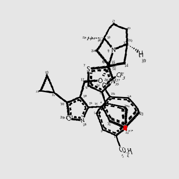 O=C(O)c1ccc(-c2csc(N3[C@@H]4CC[C@H]3C[C@H](OCc3c(-c5ccccc5OC(F)(F)F)noc3C3CC3)C4)n2)cn1